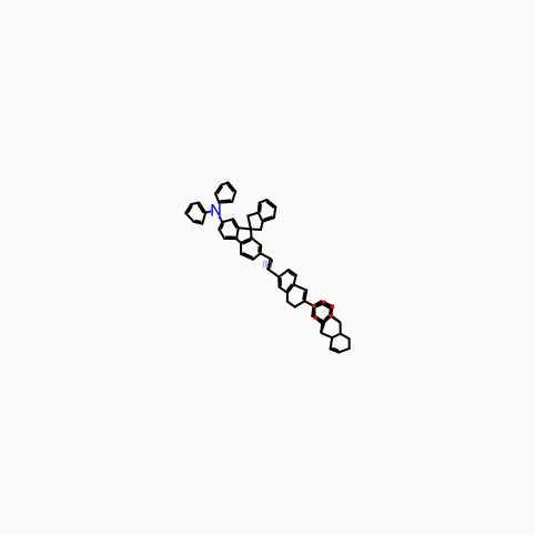 C1=CC2C3c4ccccc4C(c4ccc(C5=Cc6ccc(/C=C/c7ccc8c(c7)C7(Cc9ccccc9C7)c7cc(N(c9ccccc9)c9ccccc9)ccc7-8)cc6CC5)cc43)C2CC1